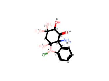 BC1(B)CC2(B)B(Cl)c3ccccc3C2(N)C(=O)C1O